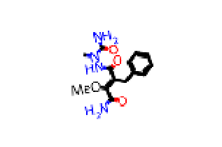 COC(C(N)=O)=C(Cc1ccccc1)C(=O)NN(C)C(N)=O